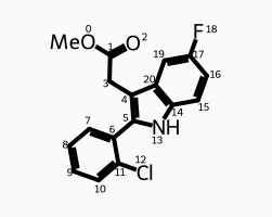 COC(=O)Cc1c(-c2ccccc2Cl)[nH]c2ccc(F)cc12